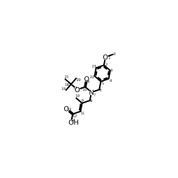 COc1ccc(CN(C/C(C)=C/C(=O)O)C(=O)OC(C)(C)C)cc1